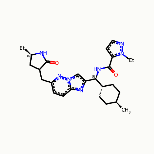 CC[C@@H]1CC(Cc2ccc3nc([C@@H](NC(=O)c4ccnn4CC)[C@H]4CC[C@H](C)CC4)cn3n2)C(=O)N1